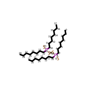 CCCCCCCCP(=S)(CCCCCCCC)SSP(=S)(CCCCCCCC)CCCCCCCC